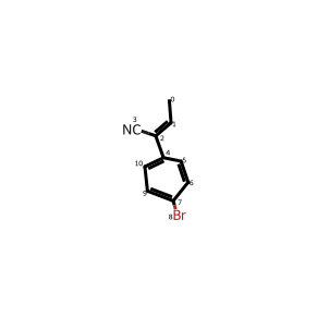 C/C=C(\C#N)c1ccc(Br)cc1